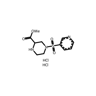 COC(=O)C1CN(S(=O)(=O)c2cccnc2)CCN1.Cl.Cl